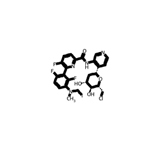 CN(CI)c1ccc(F)c(-c2nc(C(=O)Nc3cnccc3[C@H]3C[C@@H](O)[C@H](O)[C@@H](CCl)O3)ccc2F)c1F